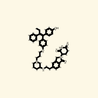 CC/C(=C(\c1ccc(O)cc1)c1ccc(OCCCN2CCCC(OCCc3ccc4c(c3)CN(C3CCC(=O)NC3=O)C4=O)C2)cc1)c1ccccc1